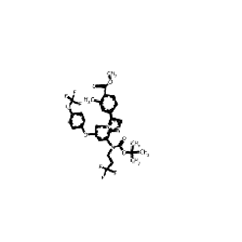 COC(=O)c1ccc(-c2cnc3c(N(CCC(F)(F)F)C(=O)OC(C)(C)C)cc(Oc4ccc(OC(F)(F)F)cc4)cn23)cc1C